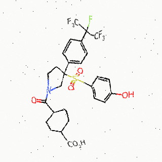 O=C(O)C1CCC(C(=O)N2CCC(c3ccc(C(F)(C(F)(F)F)C(F)(F)F)cc3)(S(=O)(=O)c3ccc(O)cc3)C2)CC1